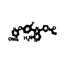 C=CC(=O)N1CCC(c2nc(-c3ccc(Oc4cc(OC)ccn4)cc3F)n3c(N)nccc23)C1